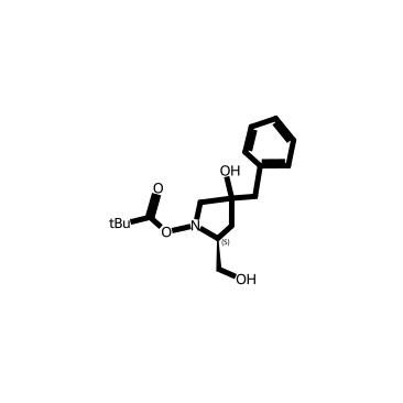 CC(C)(C)C(=O)ON1CC(O)(Cc2ccccc2)C[C@H]1CO